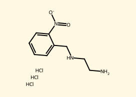 Cl.Cl.Cl.NCCNCc1ccccc1[N+](=O)[O-]